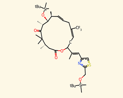 C/C(=C\c1csc(CO[Si](C)(C)C(C)(C)C)n1)C1C/C=C(/C(F)(F)F)C/C=C/[C@H](C)[C@H](O[Si](C)(C)C(C)(C)C)[C@@H](C)C(=O)C(C)(C)[C@@H](C)CC(=O)O1